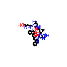 CC(C)CC(NC(=O)C[C@H](O)[C@H](CC(C)C)NC(=O)[C@H](Cc1c[nH]cn1)NC(=O)C(Cc1cccc2ccccc12)Cc1cccc2ccccc12)C(=O)NCCCCC(N)CO